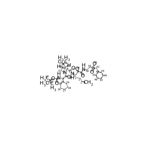 C=CCC[C@H](NC(=O)[C@@H]1[C@@H]2[C@H](CN1C(=O)[C@@H](NC(=O)OC(C)(C)C)C1CCCCC1)C2(C)C)C(=O)C(=O)NCCS(=O)(=O)Cc1ccccc1